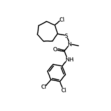 CN(SC1CCCCCC1Cl)C(=O)Nc1ccc(Cl)c(Cl)c1